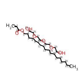 C=CC(=O)OCCCCCCCCCCCCCCCCCC.OCCOCCOCCOCCO